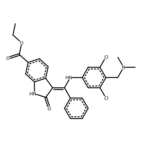 CCOC(=O)c1ccc2c(c1)NC(=O)C2=C(Nc1cc(Cl)c(CN(C)C)c(Cl)c1)c1ccccc1